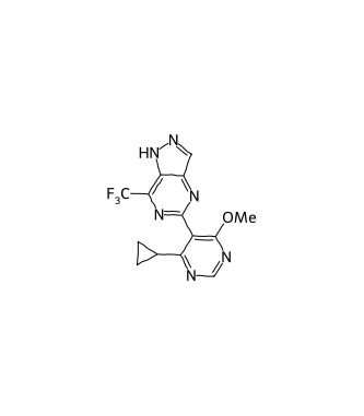 COc1ncnc(C2CC2)c1-c1nc(C(F)(F)F)c2[nH]ncc2n1